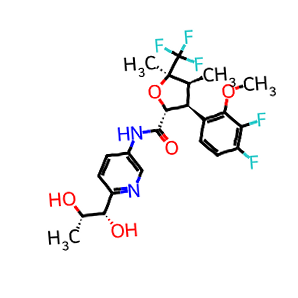 COc1c([C@H]2[C@H](C(=O)Nc3ccc([C@H](O)[C@H](C)O)nc3)O[C@@](C)(C(F)(F)F)[C@H]2C)ccc(F)c1F